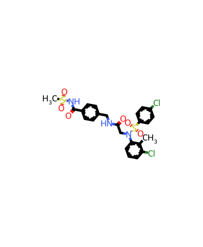 Cc1c(Cl)cccc1N(CC(=O)NCc1ccc(C(=O)NS(C)(=O)=O)cc1)S(=O)(=O)c1ccc(Cl)cc1